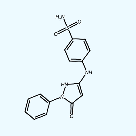 NS(=O)(=O)c1ccc(Nc2cc(=O)n(-c3ccccc3)[nH]2)cc1